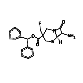 NC1C(=O)N2CC(CF)(C(=O)OC(c3ccccc3)c3ccccc3)CS[C@H]12